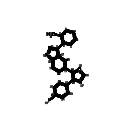 Cc1ccccc1-c1nnc2ccc(-c3ocnc3-c3ccc(F)cc3)cn12